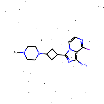 CC(=O)N1CCN(C2CC(c3nc(N)c4c(I)nccn34)C2)CC1